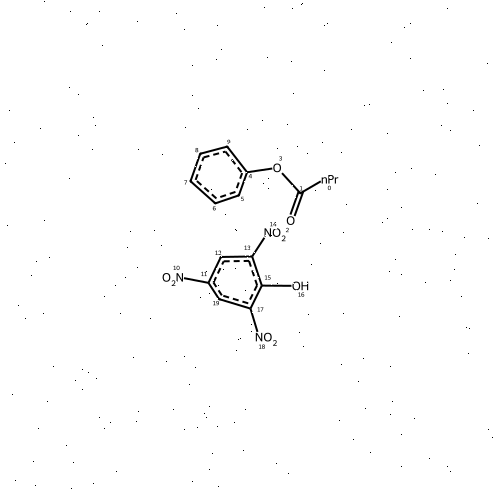 CCCC(=O)Oc1ccccc1.O=[N+]([O-])c1cc([N+](=O)[O-])c(O)c([N+](=O)[O-])c1